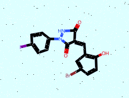 O=C1NN(c2ccc(I)cc2)C(=O)C1=Cc1cc(Br)ccc1O